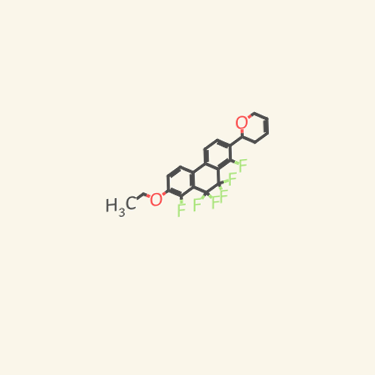 CCOc1ccc2c(c1F)C(F)(F)C(F)(F)c1c-2ccc(C2CC=CCO2)c1F